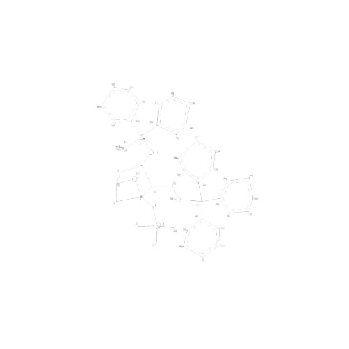 CC(C)(C)[Si](OC1CC2CC(C[Si](C)(C)C)(O2)C1COC(c1ccccc1)(c1ccccc1)c1ccccc1)(c1ccccc1)c1ccccc1